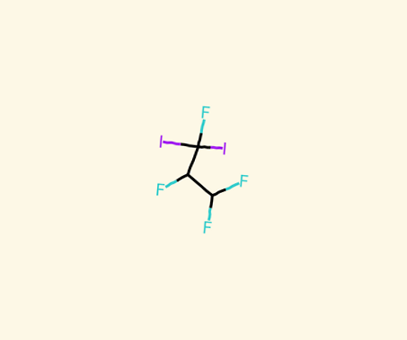 FC(F)C(F)C(F)(I)I